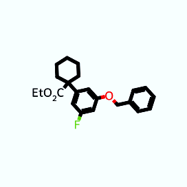 CCOC(=O)C1(c2cc(F)cc(OCc3ccccc3)c2)CCCCC1